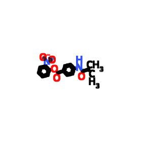 CC(C)C(=O)Nc1ccc(C(=O)Oc2ccccc2[N+](=O)[O-])cc1